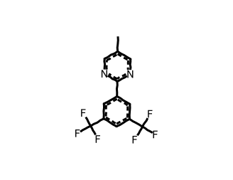 Cc1cnc(-c2cc(C(F)(F)F)cc(C(F)(F)F)c2)nc1